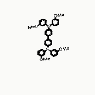 COc1cccc(N(c2ccc(-c3ccc(N(c4cccc(OC)c4)c4cccc(OC)c4)cc3)cc2)c2cccc(OC)c2)c1